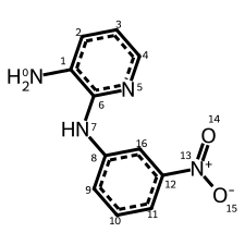 Nc1cccnc1Nc1cccc([N+](=O)[O-])c1